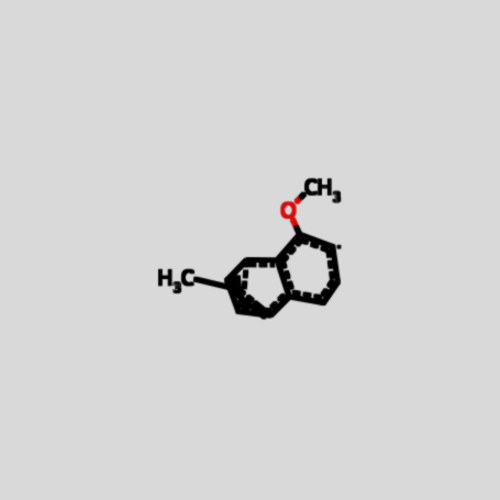 COc1[c]ccc2c3ccc(c(C)c3)c12